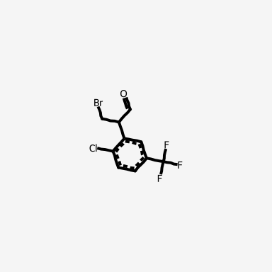 O=CC(CBr)c1cc(C(F)(F)F)ccc1Cl